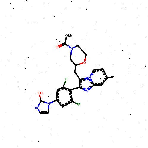 COC(=O)N1CCO[C@@H](Cc2c(-c3c(F)cc(N4C=CNC4O)cc3F)nc3cc(C)ccn23)C1